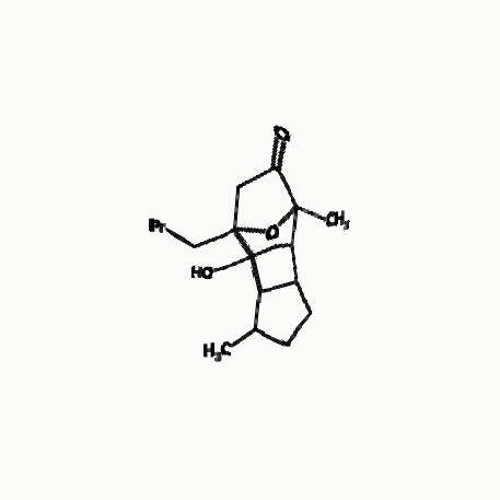 CC(C)CC12CC(=O)C(C)(O1)C1C3CCC(C)C3C12O